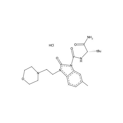 Cc1ccc2c(c1)n(C(=O)N[C@H](C(N)=O)C(C)(C)C)c(=O)n2CCN1CCOCC1.Cl